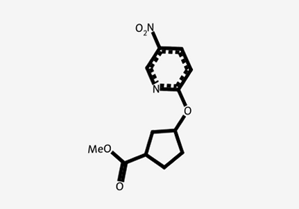 COC(=O)C1CCC(Oc2ccc([N+](=O)[O-])cn2)C1